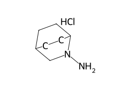 Cl.NN1CC2CCC1CC2